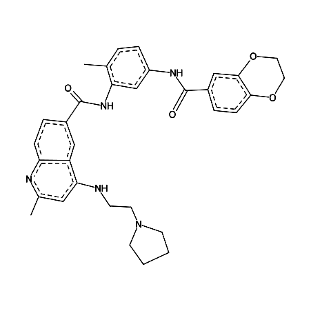 Cc1cc(NCCN2CCCC2)c2cc(C(=O)Nc3cc(NC(=O)c4ccc5c(c4)OCCO5)ccc3C)ccc2n1